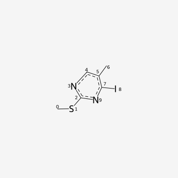 CSc1ncc(C)c(I)n1